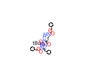 CC(C)(C)OC(=O)N[C@H](CCCNC(=O)OCc1ccccc1)C(=O)NC[C@H](Cc1ccccc1)NC(=O)OCc1ccccc1